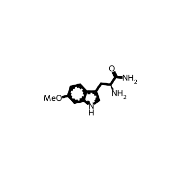 COc1ccc2c(C[C@H](N)C(N)=O)c[nH]c2c1